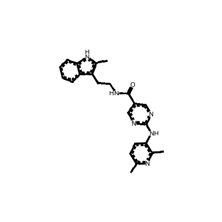 Cc1ccc(Nc2ncc(C(=O)NCCc3c(C)[nH]c4ccccc34)cn2)c(C)n1